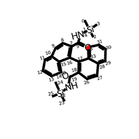 C[Si](C)(C)NC(=O)c1ccc2ccccc2c1-c1c(C(=O)N[Si](C)(C)C)ccc2ccccc12